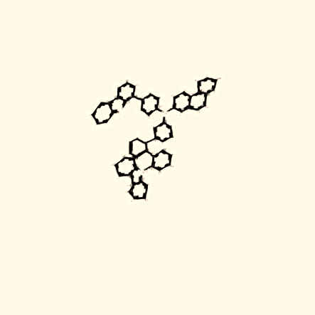 C1=CCC(c2cccc(N(c3ccc(-c4cccc5c4oc4ccccc45)cc3)c3ccc4c(ccc5ccccc54)c3)c2)C(c2ccccc2-n2c3ccccc3c3ccccc32)=C1